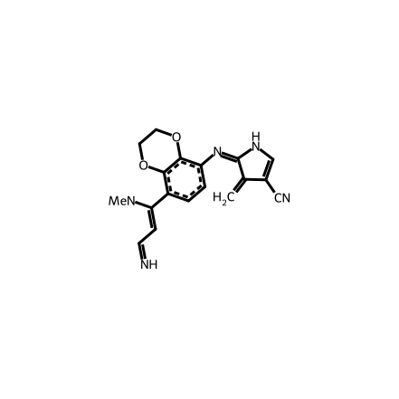 C=C1C(C#N)=CN/C1=N/c1ccc(/C(=C/C=N)NC)c2c1OCCO2